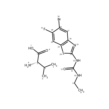 CC(C)[C@H](N)C(=O)O.CCNC(=O)Nc1nc2cc(Br)c(F)cc2s1